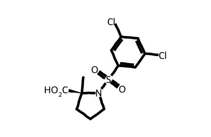 C[C@@]1(C(=O)O)CCCN1S(=O)(=O)c1cc(Cl)cc(Cl)c1